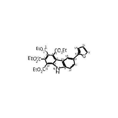 CCOC(=O)c1c(C(=O)OCC)c(C(=O)OCC)c2c([nH]c3ccc(-c4ccco4)cc32)c1C(=O)OCC